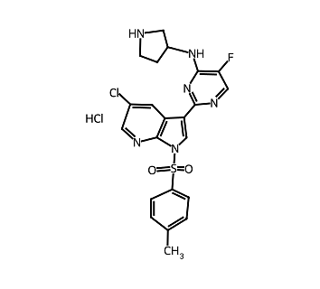 Cc1ccc(S(=O)(=O)n2cc(-c3ncc(F)c(NC4CCNC4)n3)c3cc(Cl)cnc32)cc1.Cl